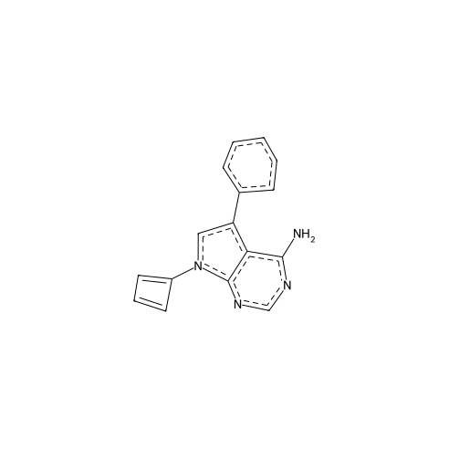 Nc1ncnc2c1c(-c1ccccc1)cn2C1=CC=C1